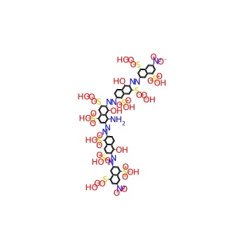 Nc1c(N=Nc2ccc3c(O)c(N=Nc4cc(S(=O)(=O)O)c5cc([N+](=O)[O-])cc(SOOO)c5c4)c(S(=O)(=O)O)cc3c2S(=O)(=O)O)cc(S(=O)(=O)O)c2cc(SOOO)c(N=Nc3ccc4c(O)c(N=Nc5cc(SOOO)c6cc([N+](=O)[O-])cc(S(=O)(=O)O)c6c5)c(SOOO)cc4c3S(=O)(=O)O)c(O)c12